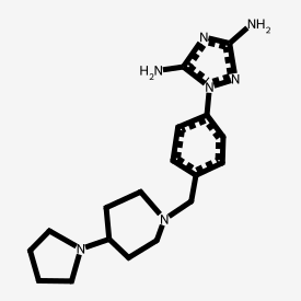 Nc1nc(N)n(-c2ccc(CN3CCC(N4CCCC4)CC3)cc2)n1